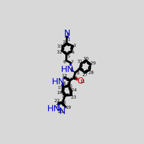 N#Cc1ccc(CCN[C@H](C(=O)c2c[nH]c3cc(-c4cn[nH]c4)ccc23)c2ccccc2)cc1